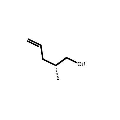 C=CC[C@@H](C)CO